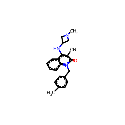 Cc1ccc(Cn2c(=O)c(C#N)c(NC3CN(C)C3)c3ccccc32)cc1